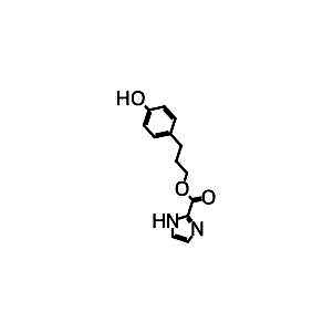 O=C(OCCCc1ccc(O)cc1)c1ncc[nH]1